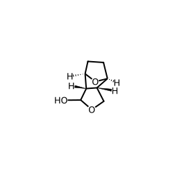 OC1OC[C@@H]2[C@H]1[C@H]1CC[C@@H]2O1